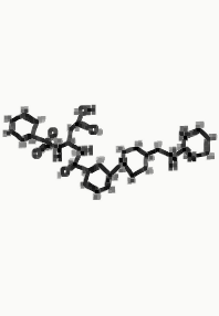 O=C(O)CC(NC(=O)c1cccc(N2CCC(CNc3ncccn3)CC2)c1)NS(=O)(=O)c1ccccc1